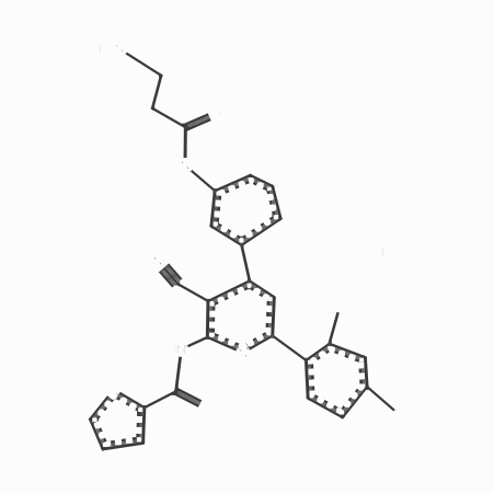 Cl.N#Cc1c(-c2cccc(NC(=O)CCN)c2)cc(-c2ccc(F)cc2O)nc1NC(=O)c1cccs1